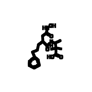 CC(NC(=O)C(CCCc1ccccc1)CC(=O)NO)C(C)(C)C(=O)O